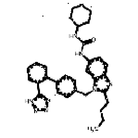 CCCCc1nc2ccc(NC(=O)NC3CCCCC3)cc2n1Cc1ccc(-c2ccccc2-c2nnn[nH]2)cc1